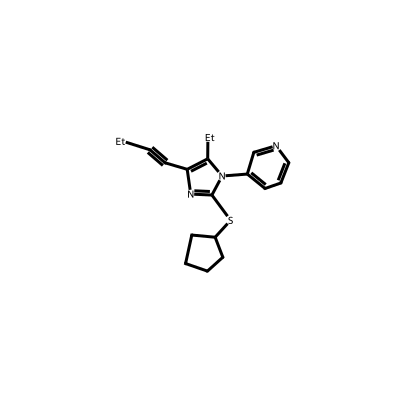 CCC#Cc1nc(SC2CCCC2)n(-c2cccnc2)c1CC